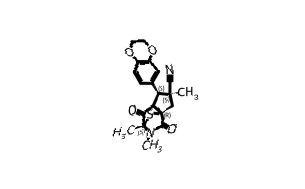 CN1C(=O)[C@@]23C[C@](C)(C#N)[C@H](c4ccc5c(c4)OCCO5)C2C(=O)[C@]1(C)S3